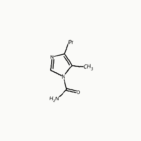 Cc1c(C(C)C)ncn1C(N)=O